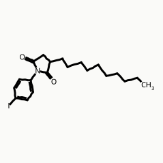 CCCCCCCCCCC1CC(=O)N(c2ccc(I)cc2)C1=O